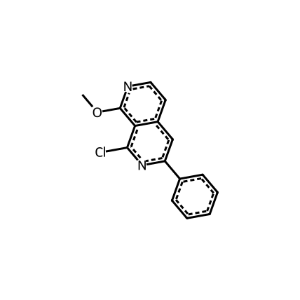 COc1nccc2cc(-c3ccccc3)nc(Cl)c12